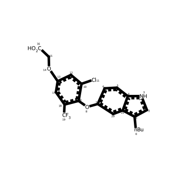 CCCCc1c[nH]c2ccc(Oc3c(Cl)cc(OCC(=O)O)cc3C(F)(F)F)cc12